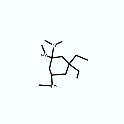 CCC1(CC)CC(PC)C[C](PC)([Ti]([CH3])[CH3])C1